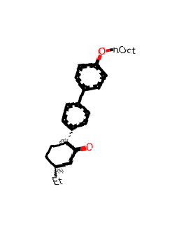 CCCCCCCCOc1ccc(-c2ccc([C@H]3CC[C@H](CC)CC3=O)cc2)cc1